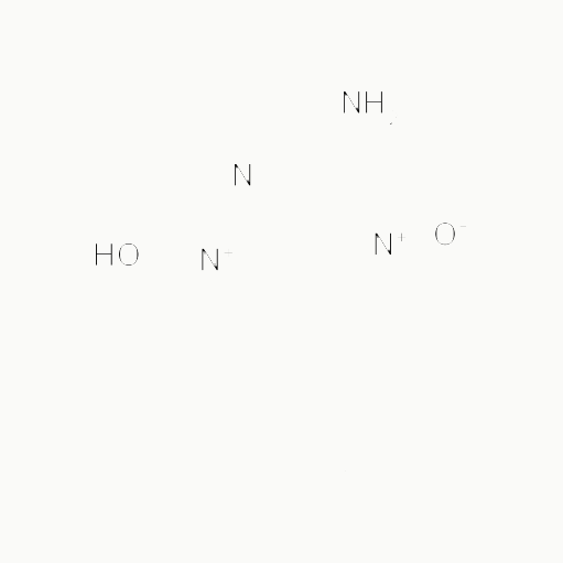 Nc1n[n+](O)c2ccccc2[n+]1[O-]